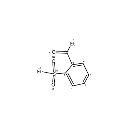 CCC(=O)c1ccccc1S(=O)(=O)CC